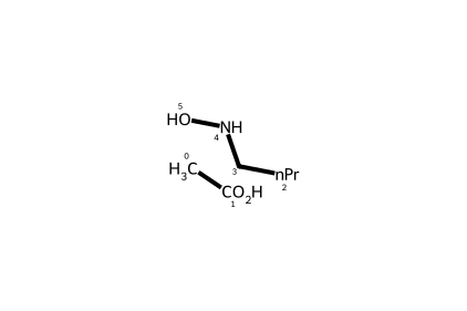 CC(=O)O.CCCCNO